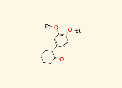 CCOc1ccc(C2CCCCC2=O)cc1OCC